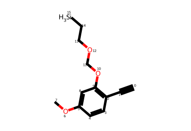 C#Cc1ccc(OC)cc1OCOCC[SiH3]